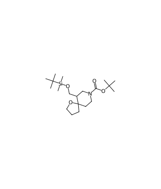 CC(C)(C)OC(=O)N1CCC2(CCCO2)C(CO[Si](C)(C)C(C)(C)C)C1